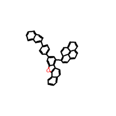 c1ccc2cc(-c3ccc(-c4cc(-c5ccc6ccc7cccc8ccc5c6c78)c5c(c4)oc4c6ccccc6ccc45)cc3)ccc2c1